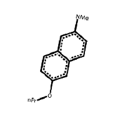 CCCOc1ccc2cc(NC)ccc2c1